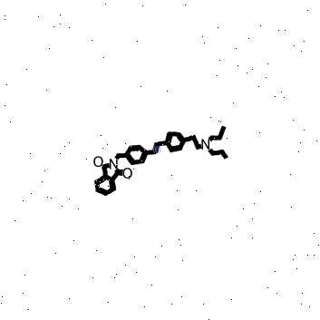 CCCN(CCC)CCc1ccc(/C=C/c2ccc(CN3C(=O)c4ccccc4C3=O)cc2)cc1